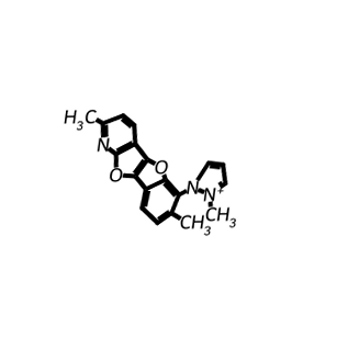 Cc1ccc2c(n1)oc1c3ccc(C)c(-n4ccc[n+]4C)c3oc21